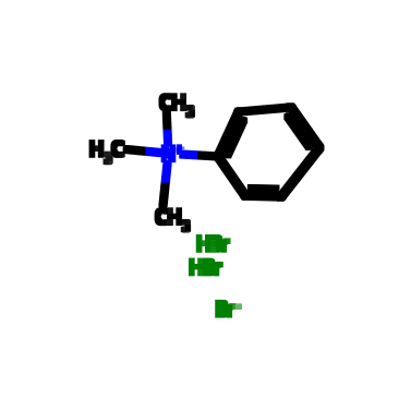 Br.Br.C[N+](C)(C)c1ccccc1.[Br-]